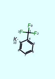 FC(F)(F)c1ccccc1.[K]